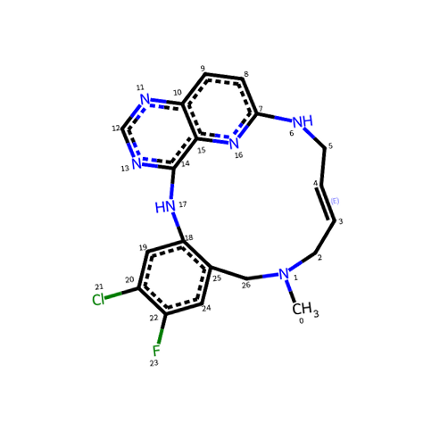 CN1C/C=C/CNc2ccc3ncnc(c3n2)Nc2cc(Cl)c(F)cc2C1